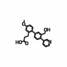 COc1ccc(-c2ccc(-c3cccnc3)c(CO)c2)c(CCC(=O)O)c1